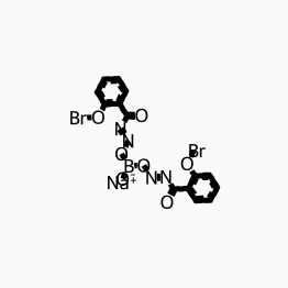 O=C(N=NOB([O-])ON=NC(=O)c1ccccc1OBr)c1ccccc1OBr.[Na+]